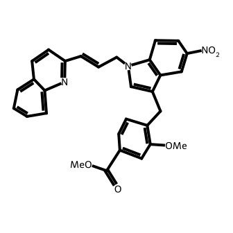 COC(=O)c1ccc(Cc2cn(CC=Cc3ccc4ccccc4n3)c3ccc([N+](=O)[O-])cc23)c(OC)c1